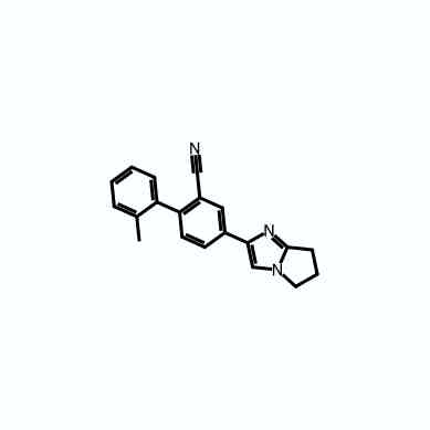 Cc1ccccc1-c1ccc(-c2cn3c(n2)CCC3)cc1C#N